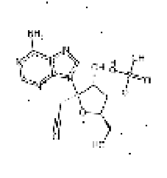 C#CC[C@@]1(n2cnc3c(N)ncnc32)O[C@H](CO)[C@@H](OP(=O)(O)O)[C@H]1O